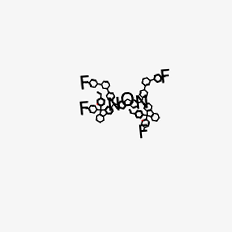 C=Cc1ccc(C2(C3=CCC(F)C=C3)C3=C(CCC(N(C4=CCC(C5=CC(c6ccc(F)cc6)CCC5)C=C4)C4=CC5Oc6cc(N(C7=CC=C(C8CC=CC(C9C=CC(F)=CC9)C8)CC7)c7ccc8c(c7)C(c7ccc(C=C)cc7)(C7C=CC(F)=CC7)C7=C8CCCC7)ccc6C5C=C4)=C3)C3=C2CCCC3)cc1